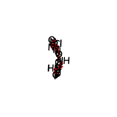 Cc1ccc(NC(=O)C2(c3ccc4c(c3)OC(F)(F)O4)CC2)nc1-c1cccc(C(=O)NCCSCCOCCN2C[C@H](C)N(Cc3c(C)cc(Cl)cc3-c3ccnc4cc(CN5C(=O)C6CC6C5=O)sc34)[C@@H](C)C2)c1